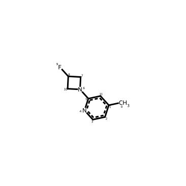 Cc1ccnc(N2CC(F)C2)c1